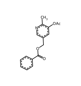 CC(=O)Oc1cc(COC(=O)c2ccccc2)cnc1C